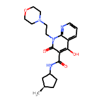 C[C@@H]1CCC(NC(=O)c2c(O)c3cccnc3n(CCN3CCOCC3)c2=O)C1